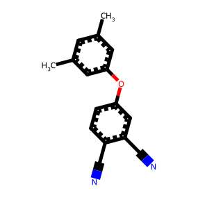 Cc1cc(C)cc(Oc2ccc(C#N)c(C#N)c2)c1